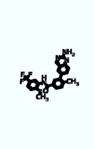 CSc1ccc(C(F)(F)F)cc1NC(=O)c1ccc(C)c(-c2ccc3nc(N)ncc3c2)c1